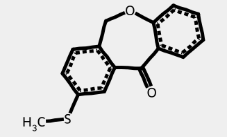 CSc1ccc2c(c1)C(=O)c1ccccc1OC2